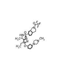 CCn1c(Oc2cccc(N3CCN(C)CC3)c2)nnc1[C@@H](C)NS(=O)(=O)c1ccc2c(c1)CN(C(=O)C(F)(F)F)CC2